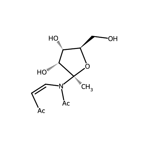 CC(=O)/C=C\N(C(C)=O)[C@]1(C)O[C@H](CO)[C@@H](O)[C@H]1O